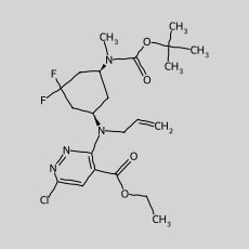 C=CCN(c1nnc(Cl)cc1C(=O)OCC)[C@@H]1C[C@H](N(C)C(=O)OC(C)(C)C)CC(F)(F)C1